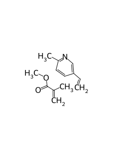 C=C(C)C(=O)OC.C=Cc1ccc(C)nc1